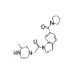 CC1CN(CC(=O)N2CCc3ccc(C(=O)N4CCCC4)cc32)CCN1